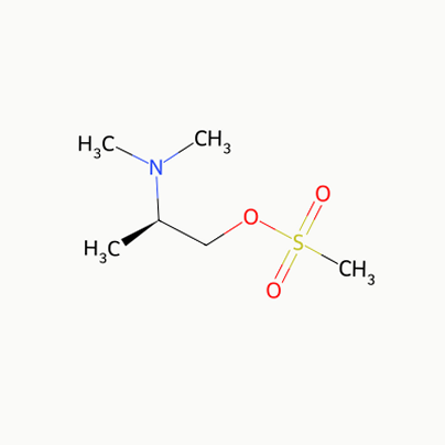 C[C@H](COS(C)(=O)=O)N(C)C